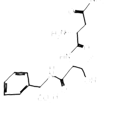 C[C@H](O)[C@@H](NC(=O)[C@H](N)CC(N)=O)C(=O)N[C@H](C(=O)O)c1ccccc1